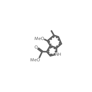 COC(=O)c1c[nH]c2ccc(C)c(OC)c12